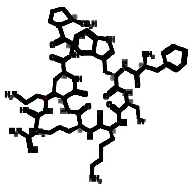 CC(C)C[C@H](NC(=O)[C@H](Cc1c[nH]c2ccccc12)NC(=O)[C@@H](N)Cc1ccccc1)C(=O)N[C@@H](CCCCN)C(=O)N[C@@H](CCCNC(=N)N)C(=O)N[C@@H](CCCCN)C(=O)N[C@@H](CCCNC(=N)N)C(=O)N[C@H](C(=O)N1CCC[C@H]1C(=O)O)C(C)C